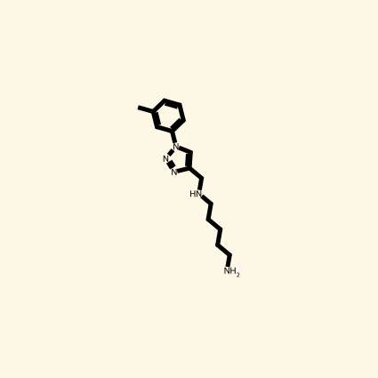 Cc1cccc(-n2cc(CNCCCCCN)nn2)c1